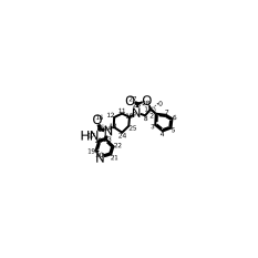 C[C@]1(c2ccccc2)CN(C2CCC(n3c(=O)[nH]c4cnccc43)CC2)C(=O)O1